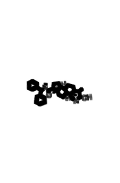 CC1C(O)N=C[C@@]2(C)C1CC[C@@H]1[C@H]2CC[C@]2(C)C(C(=O)N(C)C(c3ccccc3)c3ccccc3)CC[C@@H]12